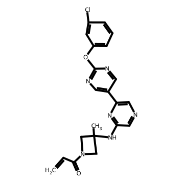 C=CC(=O)N1CC(C)(Nc2cncc(-c3cnc(Oc4cccc(Cl)c4)nc3)n2)C1